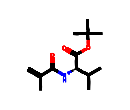 C=C(C)C(=O)N[C@H](C(=O)OC(C)(C)C)C(C)C